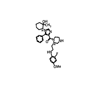 COc1ccc(NCC[C@@H]2CNCCN2C(=O)c2ncn([C@@H]3CCCC[C@]3(C)O)c2-c2ccccc2)c(F)c1